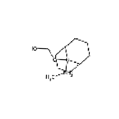 C[NH2+][B-]1(OCO)C2CCCC1CCC2